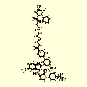 CC(C)N(C)[C@@H]1CC[C@H](N2CC[C@H](Nc3ncnc4ccc(C(F)(F)F)cc34)C2=O)[C@H](NC(=O)[C@H]2CC[C@@H](C3CCN(C(=O)CCOCCOCCNC(=O)[C@H]4CC(=O)N(C)[C@@H]4C4C=NC=CC4)CC3)CC2)C1